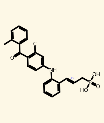 Cc1ccccc1C(=O)c1ccc(Nc2ccccc2/C=C/CP(=O)(O)O)cc1Cl